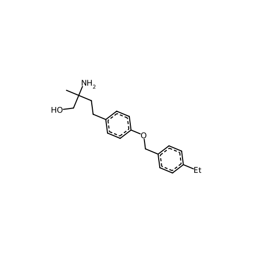 CCc1ccc(COc2ccc(CCC(C)(N)CO)cc2)cc1